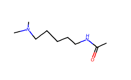 CC(=O)NCCCCCN(C)C